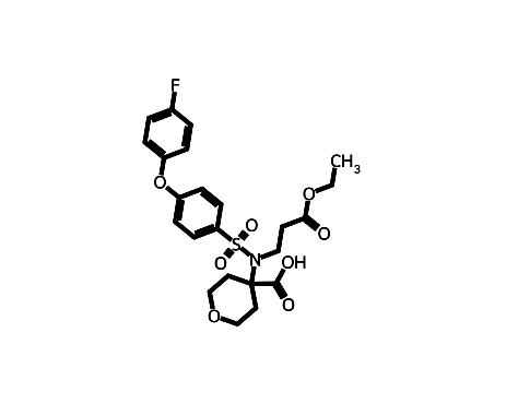 CCOC(=O)CCN(C1(C(=O)O)CCOCC1)S(=O)(=O)c1ccc(Oc2ccc(F)cc2)cc1